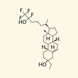 CC[C@]1(O)CC[C@H]2C(=CC[C@@H]3[C@@H]2CC[C@]2(C)[C@@H](C(C)CCCC(O)(F)C(F)(F)F)CC[C@@H]32)C1